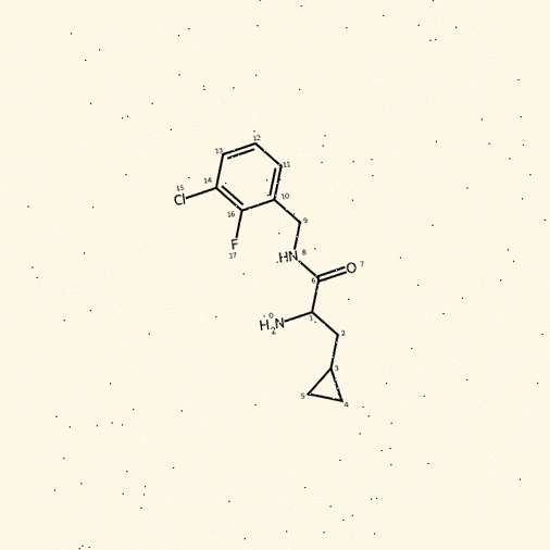 NC(CC1CC1)C(=O)NCc1cccc(Cl)c1F